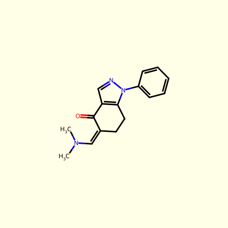 CN(C)C=C1CCc2c(cnn2-c2ccccc2)C1=O